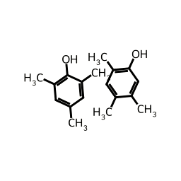 Cc1cc(C)c(O)c(C)c1.Cc1cc(C)c(O)cc1C